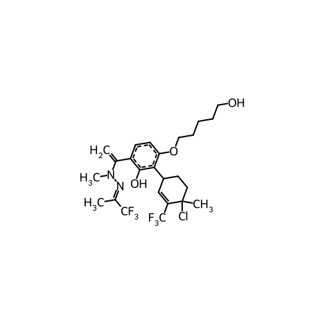 C=C(c1ccc(OCCCCCO)c(C2C=C(C(F)(F)F)C(C)(Cl)CC2)c1O)N(C)/N=C(\C)C(F)(F)F